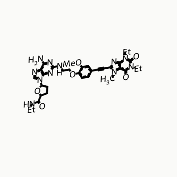 CCNC(=O)C1CCC(n2cnc3c(N)nc(NCCOc4ccc(C#Cc5nc6c(c(=O)n(CC)c(=O)n6CC)n5C)cc4OC)nc32)O1